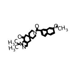 COc1ccc2ccc(C(=O)N3CCC4(CC3)CC(=O)c3c(cnn3C(C)C)C4)cc2c1